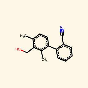 Cc1ccc(-c2ccccc2C#N)c(C)c1CO